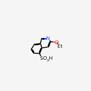 CCOc1cc2c(S(=O)(=O)O)cccc2cn1